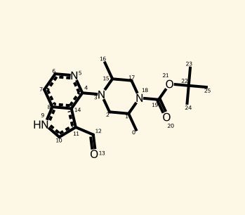 CC1CN(c2nccc3[nH]cc(C=O)c23)C(C)CN1C(=O)OC(C)(C)C